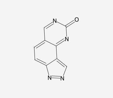 O=C1N=Cc2ccc3c(c2=N1)=CN=N3